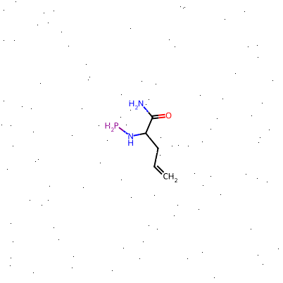 C=CCC(NP)C(N)=O